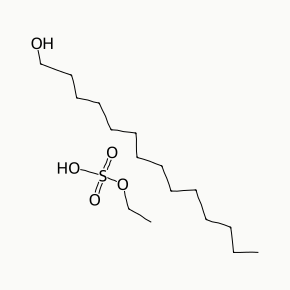 CCCCCCCCCCCCCCO.CCOS(=O)(=O)O